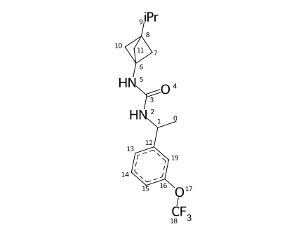 CC(NC(=O)NC12CC(C(C)C)(C1)C2)c1cccc(OC(F)(F)F)c1